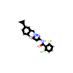 O=C(Nc1ccn(Cc2cc(C3CC3)ccc2C(F)(F)F)n1)c1c(F)cccc1F